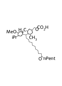 CCCCCC(=O)CCCCCCCCCCC(c1ccc(OC)c(C(C)C)c1)c1c(C)cc(COC(=O)O)cc1C